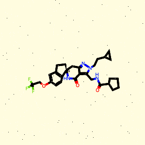 O=C1N[C@@]2(CCc3cc(OCC(F)(F)F)ccc32)Cc2nn(CCC3CC3)c(CNC(=O)C3CCCC3)c21